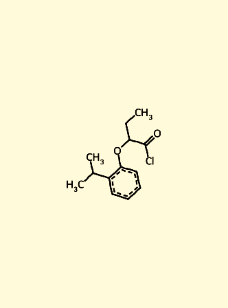 CCC(Oc1ccccc1C(C)C)C(=O)Cl